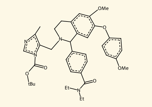 CCN(CC)C(=O)c1ccc(C2c3cc(Oc4ccc(OC)cc4)c(OC)cc3CCN2Cc2c(C)ncn2C(=O)OC(C)(C)C)cc1